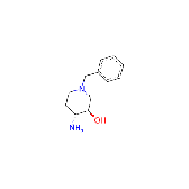 N[C@@H]1CCN(Cc2ccccc2)C[C@H]1O